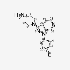 NC1CCN(c2nn(-c3ccc(Cl)cc3)c3cnccc23)CC1